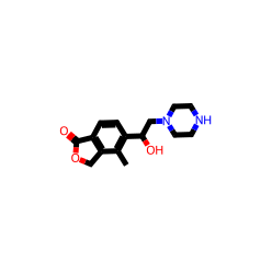 Cc1c(C(O)CN2CCNCC2)ccc2c1COC2=O